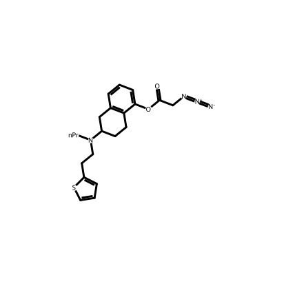 CCCN(CCc1cccs1)C1CCc2c(cccc2OC(=O)CN=[N+]=[N-])C1